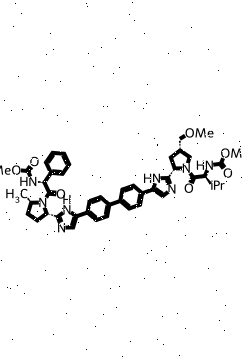 COC[C@H]1C[C@@H](c2ncc(-c3ccc(-c4ccc(-c5cnc([C@@H]6CC[C@H](C)N6C(=O)[C@H](NC(=O)OC)c6ccccc6)[nH]5)cc4)cc3)[nH]2)N(C(=O)[C@@H](NC(=O)OC)C(C)C)C1